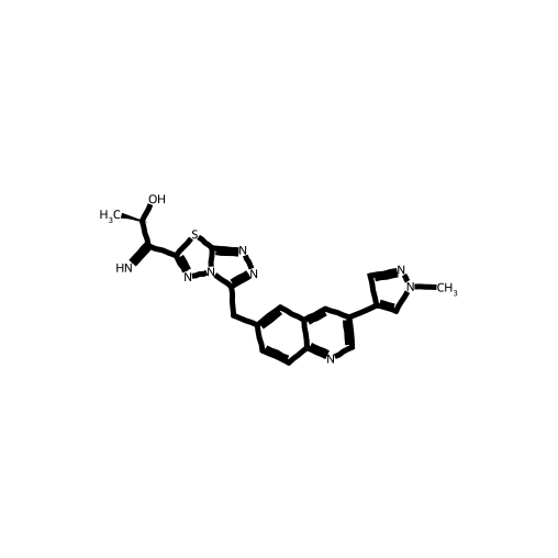 C[C@@H](O)C(=N)c1nn2c(Cc3ccc4ncc(-c5cnn(C)c5)cc4c3)nnc2s1